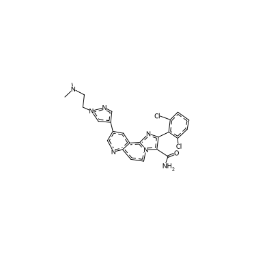 CN(C)CCn1cc(-c2cnc3ccn4c(C(N)=O)c(-c5c(Cl)cccc5Cl)nc4c3c2)cn1